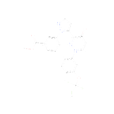 COC(=O)c1cccc(-n2nccc2-c2nn(-c3cccc(OC(F)(F)F)c3)ccc2=O)c1